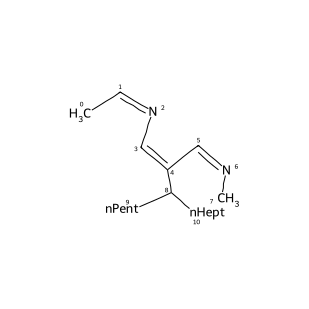 C\C=N/C=C(\C=N/C)C(CCCCC)CCCCCCC